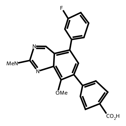 CNc1ncc2c(-c3cccc(F)c3)cc(-c3ccc(C(=O)O)cc3)c(OC)c2n1